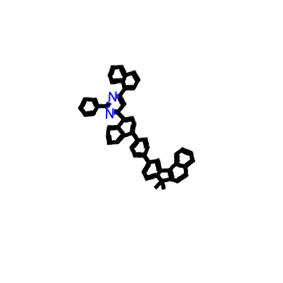 CC1(C)c2ccc(-c3ccc(-c4ccc(-c5cc(-c6cccc7ccccc67)nc(-c6ccccc6)n5)c5ccccc45)cc3)cc2-c2c1ccc1ccccc21